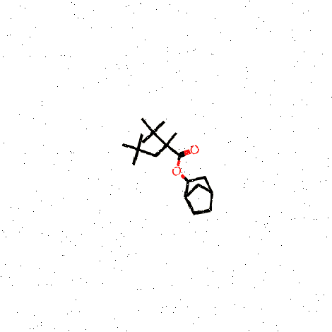 CC(C)(C)CC(C)(C(=O)OC1CC2CCC1C2)C(C)(C)C